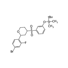 CC(C)(C)[Si](C)(C)Oc1cccc(S(=O)(=O)C2CCOC(c3ccc(Br)cc3F)C2)c1